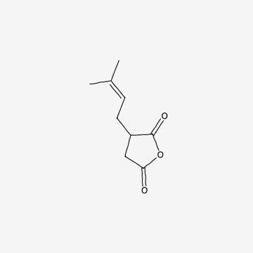 CC(C)=CCC1CC(=O)OC1=O